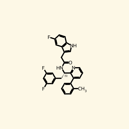 Cc1ccccc1-c1cccnc1[C@H](Cc1cc(F)cc(F)c1)NC(=O)Cc1c[nH]c2ccc(F)cc12